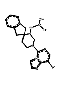 CC(C)(C)[S@@+]([O-])NC1CN(c2ncc(Br)c3nccn23)CCC12Cc1ccccc1C2